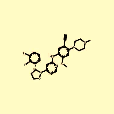 C#Cc1cc(Nc2cc(N3OCC[C@@H]3c3cccc(F)c3F)ncn2)c(OC)cc1N1CCN(C)CC1